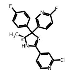 C[C@@H]1NC(c2ccnc(Cl)c2)=NC1(c1ccc(F)cc1)c1ccc(F)nc1